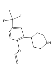 O=COc1ccc(C(F)(F)F)cc1C1CCNCC1